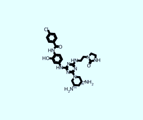 N[C@@H]1C[C@H](N)CN(c2nc(NCCN3CCNC3=O)nc(Nc3ccc(NC(=O)c4ccc(Cl)cc4)c(O)c3)n2)C1